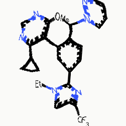 CCn1cc(C(F)(F)F)nc1-c1ccc(C(C)n2cccn2)c(-c2c(OC)ncnc2C2CC2)c1